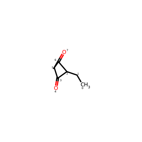 CCC1C(=O)CC1=O